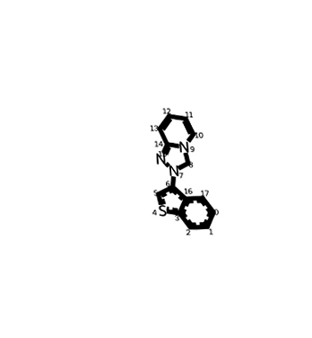 [c]1ccc2scc(N3CN4C=CC=CC4=N3)c2c1